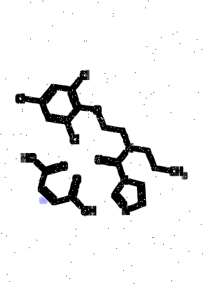 CCCN(CCOc1c(Cl)cc(Cl)cc1Cl)C(=O)n1ccnc1.O=C(O)/C=C\C(=O)O